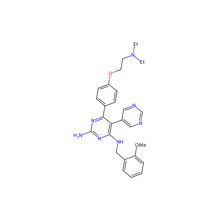 CCN(CC)CCOc1ccc(-c2nc(N)nc(NCc3ccccc3OC)c2-c2cncnc2)cc1